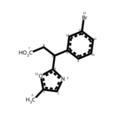 Cc1cnc(C(CC(=O)O)c2cccc(Br)c2)o1